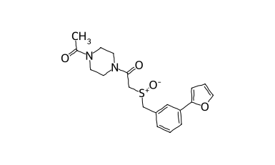 CC(=O)N1CCN(C(=O)C[S+]([O-])Cc2cccc(-c3ccco3)c2)CC1